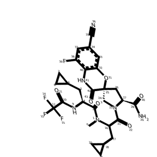 CN(C(=O)[C@H](CC1CC1)NC(=O)C(F)(F)F)C(CC1CC1)C(=O)N1C[C@@]2(C[C@H]1C(N)=O)Oc1cc(C#N)cc(F)c1NC2=O